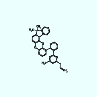 C=CCc1cc(C)cc(-c2ccccc2-c2cccc3c2Oc2c(ccc4c2-c2ccccc2C4(C)C)O3)n1